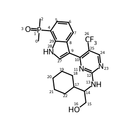 CP(C)(=O)c1cccc2c(-c3nc(NC(CO)C4CCCCC4)ncc3C(F)(F)F)c[nH]c12